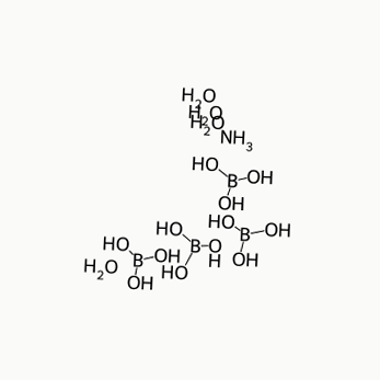 N.O.O.O.O.OB(O)O.OB(O)O.OB(O)O.OB(O)O